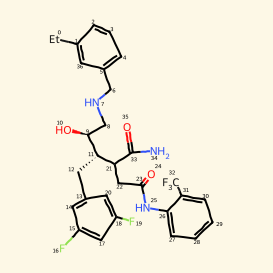 CCc1cccc(CNC[C@H](O)[C@@H](Cc2cc(F)cc(F)c2)C(CC(=O)Nc2ccccc2C(F)(F)F)C(N)=O)c1